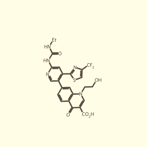 CCNC(=O)Nc1cc(-c2nc(C(F)(F)F)cs2)c(-c2ccc3c(=O)c(C(=O)O)cn(CCO)c3c2)cn1